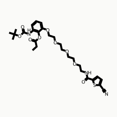 CCC(=O)Oc1c(NC(=O)OC(C)(C)C)cccc1OCCOCCOCCOCCNC(=O)c1ccc(C#N)s1